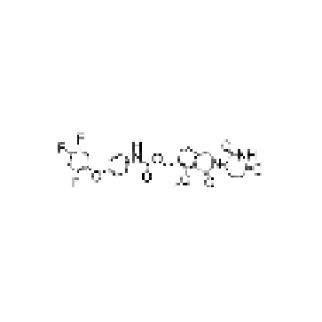 COc1c(COC(=O)Nc2ccc(Oc3cc(F)c(F)cc3F)cc2)ccc2c1C(=O)N(C1CCC(=O)NC1=O)C2